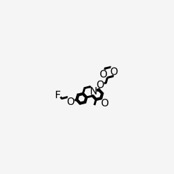 Cc1c2n(c(OCC3COCCO3)cc1=O)CCc1cc(OCCF)ccc1-2